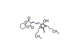 CCCCn1c(O)c(/C=C/C=C2C(=O)OC3(CCCCC3)OC2=O)n(CCCC)c1=S